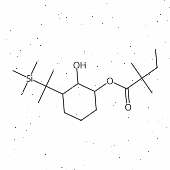 CCC(C)(C)C(=O)OC1CCCC(C(C)(C)[Si](C)(C)C)C1O